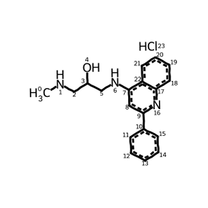 CNCC(O)CNc1cc(-c2ccccc2)nc2ccccc12.Cl